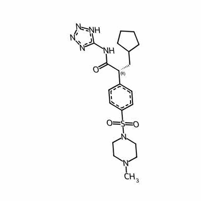 CN1CCN(S(=O)(=O)c2ccc([C@@H](CC3CCCC3)C(=O)Nc3nnn[nH]3)cc2)CC1